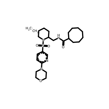 O=C(NCC1CCCCN1S(=O)(=O)c1ccc(N2CCOCC2)nc1)[C]1CCCCCCC1.[CH2].[CH2]